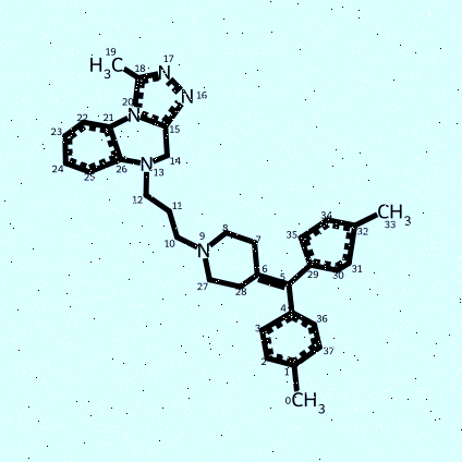 Cc1ccc(C(=C2CCN(CCCN3Cc4nnc(C)n4-c4ccccc43)CC2)c2ccc(C)cc2)cc1